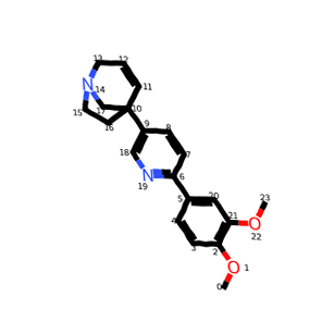 COc1ccc(-c2ccc(C34C=CCN(CC3)C4)cn2)cc1OC